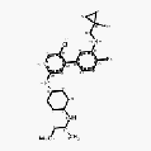 COC[C@@H](C)N[C@H]1CC[C@H](Nc2cc(-c3ccc(F)c(NCC4(F)CC4)c3)c(Cl)cn2)CC1